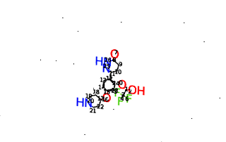 O=C(O)C(F)(F)F.O=C1CCC(c2ccc(OC3CCNCC3)cc2)=NN1